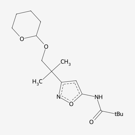 CC(C)(C)C(=O)Nc1cc(C(C)(C)COC2CCCCO2)no1